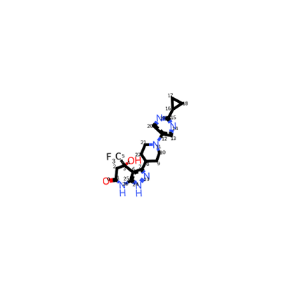 O=C1CC(O)(C(F)(F)F)c2c(C3CCN(c4cnc(C5CC5)nc4)CC3)n[nH]c2N1